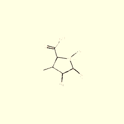 NC(=O)C1C(Br)C(Br)C(Br)N1Br